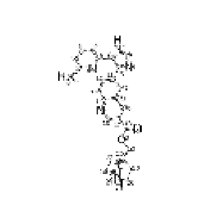 Cc1cccc(-c2[nH]cnc2-c2ccc3ncc(C(=O)OCC45CCC(CC4)NC5)cc3c2)n1